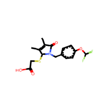 CC1=C(C)C(SCC(=O)O)N(Cc2ccc(OC(F)F)cc2)C1=O